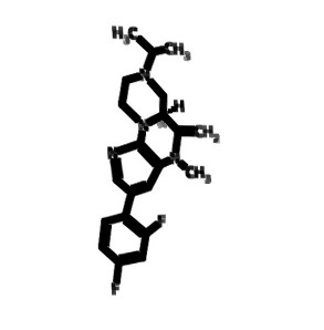 C=C1[C@@H]2CN(C(C)C)CCN2c2ncc(-c3ccc(F)cc3F)cc2N1C